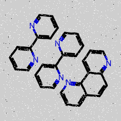 c1ccc(-c2ccccn2)nc1.c1ccc(-c2ccccn2)nc1.c1cnc2c(c1)ccc1ncccc12